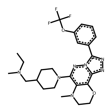 CCN(C)CC1CCN(c2nn3c(-c4cccc(OC(F)(F)F)c4)nnc3c3c2N(C)CCO3)CC1